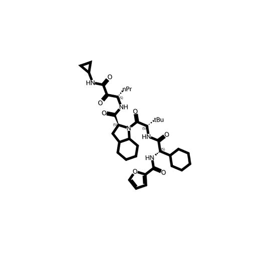 CCC[C@H](NC(=O)[C@@H]1CC2CCCCC2N1C(=O)[C@@H](NC(=O)[C@@H](NC(=O)c1ccco1)C1CCCCC1)C(C)(C)C)C(=O)C(=O)NC1CC1